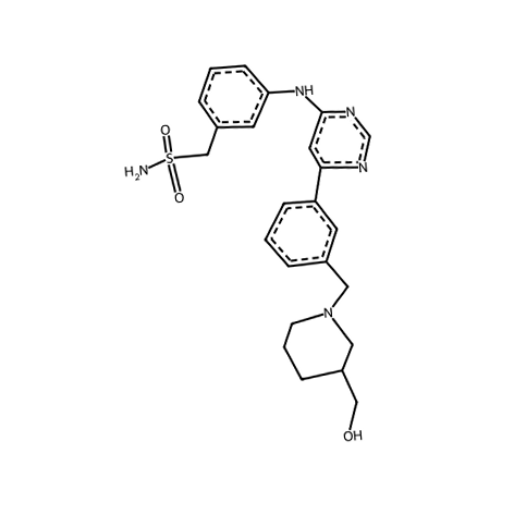 NS(=O)(=O)Cc1cccc(Nc2cc(-c3cccc(CN4CCCC(CO)C4)c3)ncn2)c1